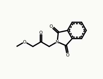 COCC(=O)CN1C(=O)c2ccccc2C1=O